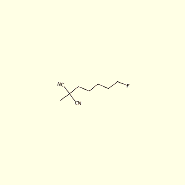 CC(C#N)(C#N)CCCCCF